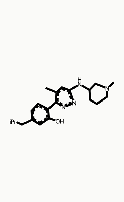 Cc1cc(NC2CCCN(C)C2)nnc1-c1ccc(CC(C)C)cc1O